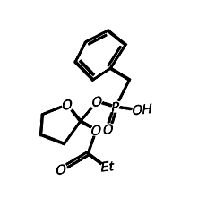 CCC(=O)OC1(OP(=O)(O)Cc2ccccc2)CCCO1